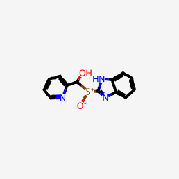 [O-][S+](c1nc2ccccc2[nH]1)C(O)c1ccccn1